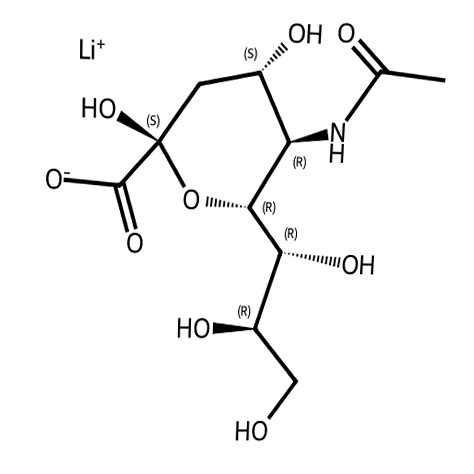 CC(=O)N[C@H]1[C@H]([C@H](O)[C@H](O)CO)O[C@](O)(C(=O)[O-])C[C@@H]1O.[Li+]